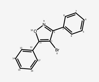 Brc1c(-c2ccccc2)noc1-c1ccccc1